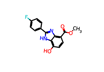 COC(=O)c1ccc(O)c2[nH]c(-c3ccc(F)cc3)nc12